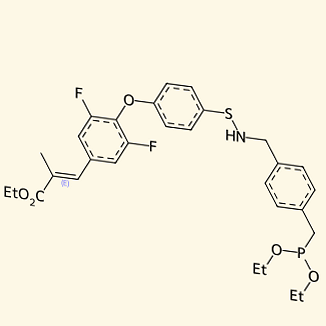 CCOC(=O)/C(C)=C/c1cc(F)c(Oc2ccc(SNCc3ccc(CP(OCC)OCC)cc3)cc2)c(F)c1